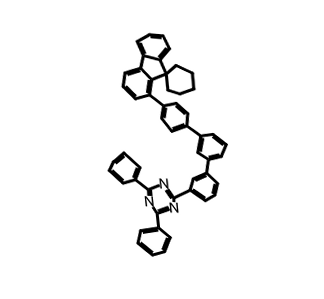 c1ccc(-c2nc(-c3ccccc3)nc(-c3cccc(-c4cccc(-c5ccc(-c6cccc7c6C6(CCCCC6)c6ccccc6-7)cc5)c4)c3)n2)cc1